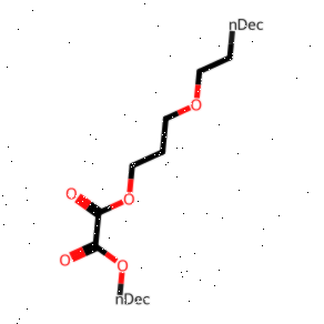 CCCCCCCCCCCCOCCCOC(=O)C(=O)OCCCCCCCCCC